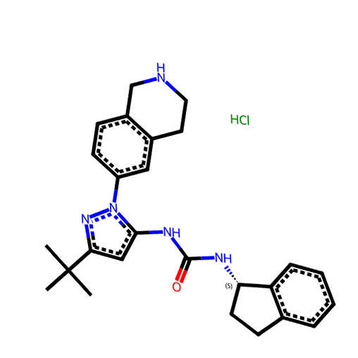 CC(C)(C)c1cc(NC(=O)N[C@H]2CCc3ccccc32)n(-c2ccc3c(c2)CCNC3)n1.Cl